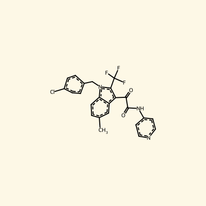 Cc1ccc2c(c1)c(C(=O)C(=O)Nc1ccncc1)c(C(F)(F)F)n2Cc1ccc(Cl)cc1